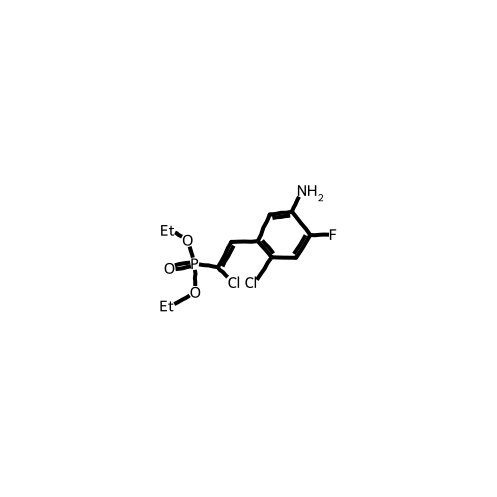 CCOP(=O)(OCC)/C(Cl)=C/c1cc(N)c(F)cc1Cl